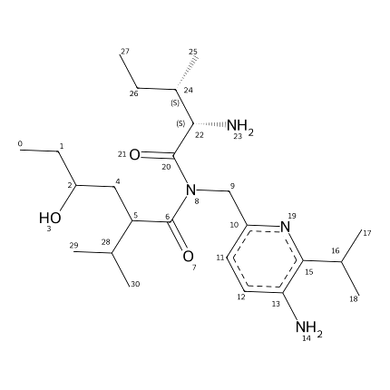 CCC(O)CC(C(=O)N(Cc1ccc(N)c(C(C)C)n1)C(=O)[C@@H](N)[C@@H](C)CC)C(C)C